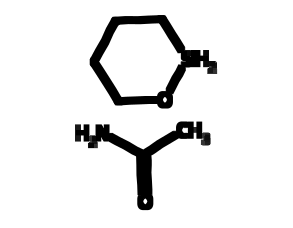 C1CC[SiH2]OC1.CC(N)=O